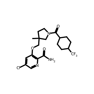 CC1(COc2cc(Cl)cnc2C(N)=O)CCN(C(=O)C2CCC(C(F)(F)F)CC2)C1